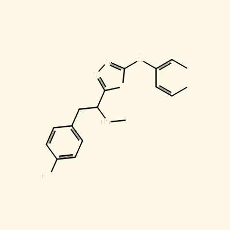 C/C=C\C(=C/C)Nc1nnc(C(Cc2ccc(O)cc2)NC)s1